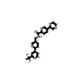 CC(F)(F)c1cc(-c2ccc(CNC(=O)c3ccc(-c4cnccn4)cn3)cn2)ccn1